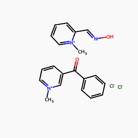 C[n+]1cccc(C(=O)c2ccccc2)c1.C[n+]1ccccc1C=NO.[Cl-].[Cl-]